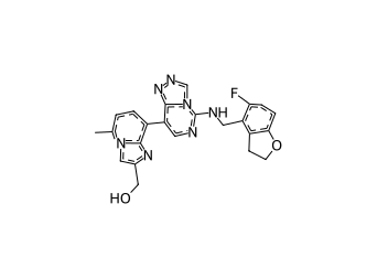 Cc1ccc(-c2cnc(NCc3c(F)ccc4c3CCO4)n3cnnc23)c2nc(CO)cn12